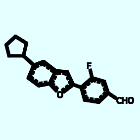 O=Cc1ccc(-c2cc3cc(C4CCCC4)ccc3o2)c(F)c1